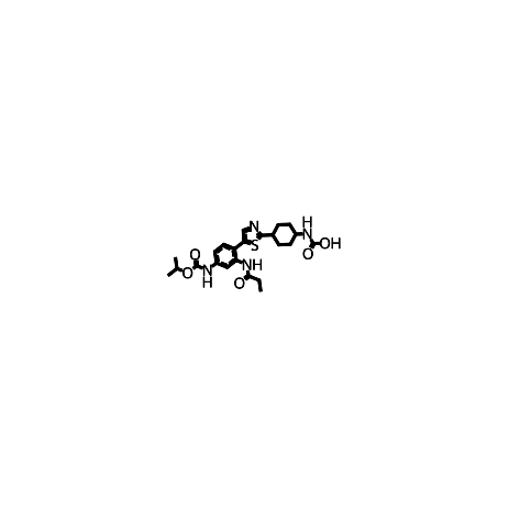 CCC(=O)Nc1cc(NC(=O)OC(C)C)ccc1-c1cnc(C2CCC(NC(=O)O)CC2)s1